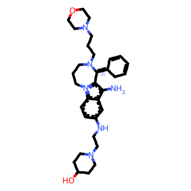 Nc1c2n(c3ccc(NCCN4CCC(O)CC4)cc13)CCCN(CCCN1CCOCC1)/C2=C1\C=CC=CC1